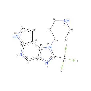 FC(F)(F)c1nc2cnc3[nH]ccc3c2n1C1CCNCC1